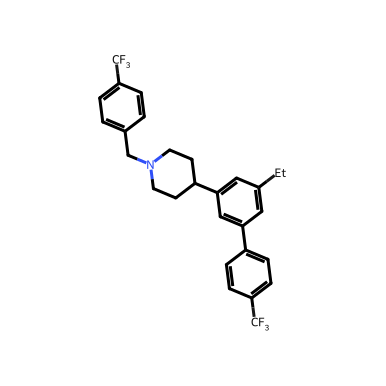 CCc1cc(-c2ccc(C(F)(F)F)cc2)cc(C2CCN(Cc3ccc(C(F)(F)F)cc3)CC2)c1